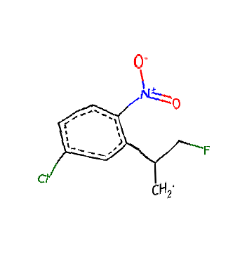 [CH2]C(CF)c1cc(Cl)ccc1[N+](=O)[O-]